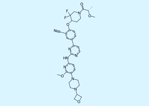 COc1nc(Nc2nccc(-c3ccc(OC4CCN(C(=O)[C@H](C)OC)CC4(F)F)c(C#N)c3)n2)ccc1N1CCN(C2COC2)CC1